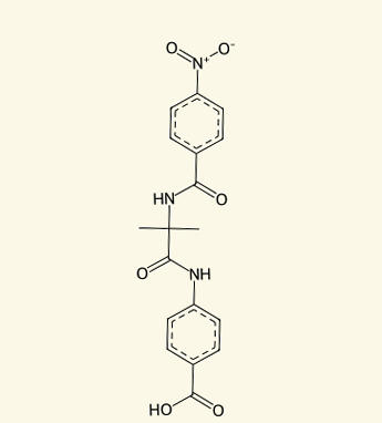 CC(C)(NC(=O)c1ccc([N+](=O)[O-])cc1)C(=O)Nc1ccc(C(=O)O)cc1